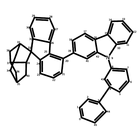 c1ccc(-c2cccc(-n3c4ccccc4c4ccc(-c5cccc6c5-c5ccccc5C65C6CC7CC(C6)C5C7)cc43)c2)cc1